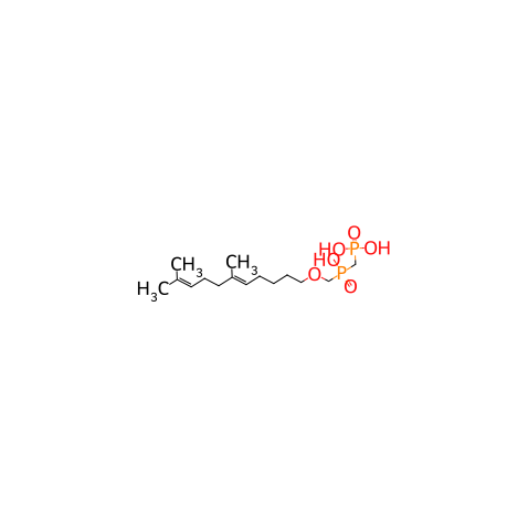 CC(C)=CCC/C(C)=C/CCCCOCP(=O)(O)CP(=O)(O)O